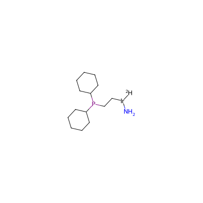 [2H][Ir]([NH2])[CH2]CP(C1CCCCC1)C1CCCCC1